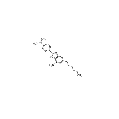 CCCCCCc1cc(N)c2[nH]c(-c3ccc(N(C)C)cc3)cc2c1